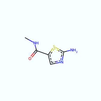 CNC(=O)c1cnc(N)s1